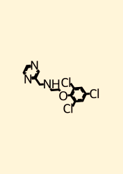 Clc1cc(Cl)c(OCCNCc2cnccn2)c(Cl)c1